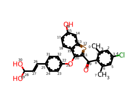 Cc1cc(Cl)cc(C)c1C(=O)c1sc2cc(O)ccc2c1Oc1ccc(/C=C/C(O)O)cc1